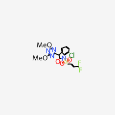 COc1nc(OC)nc(C2C(=O)N(S(=O)(=O)CC=CC(F)F)c3c(Cl)cccc32)n1